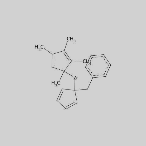 CC1=C[C](C)([Zr][C]2(Cc3ccccc3)C=CC=C2)C(C)=C1C